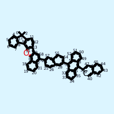 CC1(C)c2ccccc2-c2c1ccc1c2oc2c3ccccc3c(-c3ccc4cc(-c5c6ccccc6c(-c6ccc7ccccc7c6)c6ccccc56)ccc4c3)cc12